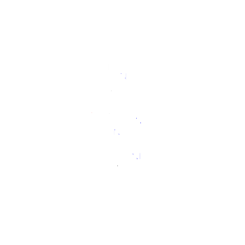 CN1CCCC(C(=O)N2c3ccccc3C(=O)Nc3cccnc32)C1